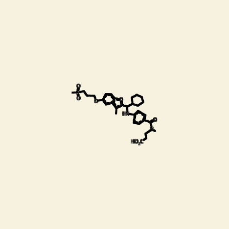 Cc1c(C(Nc2ccc(C(=O)N(C)CCC(=O)O)cc2)C2CCCCC2)oc2ccc(OCCCS(C)(=O)=O)cc12